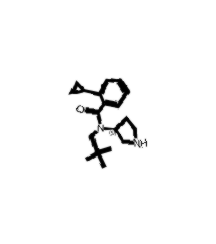 CC(C)(C)CN(C(=O)c1ccccc1C1CC1)[C@H]1CCNC1